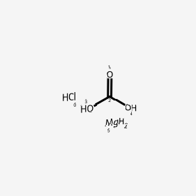 Cl.O=C(O)O.[MgH2]